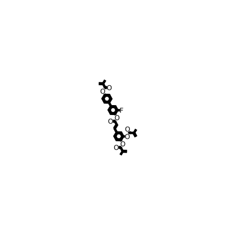 C=C(C)C(=O)Oc1ccc(-c2ccc(OC(=O)/C=C/c3ccc(OC(=O)C(=C)C)c(OC(=O)C(=C)C)c3)c(F)c2)cc1